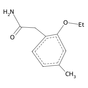 CCOc1cc(C)ccc1CC(N)=O